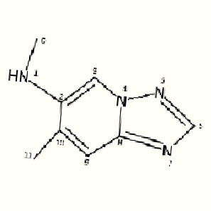 CNc1cn2ncnc2cc1C